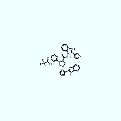 O=C(N[n+]1c(-c2cscn2)[nH]c2ccccc21)N1CCCC1c1ccccc1.O=C(O)C(F)(F)F.c1ccc2[nH]c(-c3cscn3)nc2c1